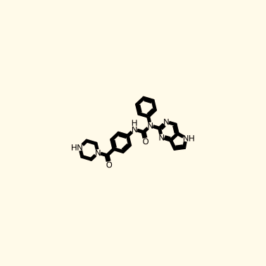 O=C(c1ccc(NC(=O)N(c2ccccc2)c2ncc3[nH]ccc3n2)cc1)N1CCNCC1